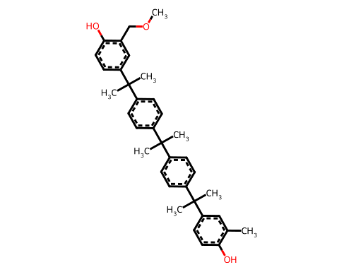 COCc1cc(C(C)(C)c2ccc(C(C)(C)c3ccc(C(C)(C)c4ccc(O)c(C)c4)cc3)cc2)ccc1O